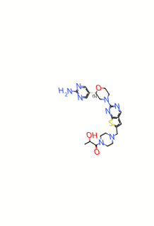 CC(O)C(=O)N1CCN(Cc2cc3cnc(N4CCO[C@@H](c5cnc(N)nc5)C4)nc3s2)CC1